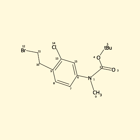 CN(C(=O)OC(C)(C)C)c1ccc(CCBr)c(Cl)c1